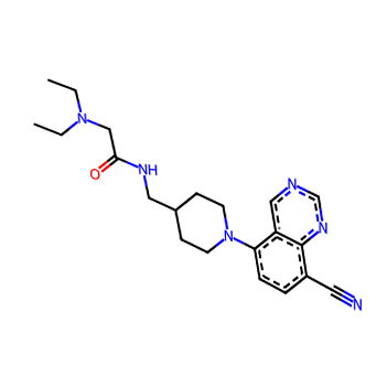 CCN(CC)CC(=O)NCC1CCN(c2ccc(C#N)c3ncncc23)CC1